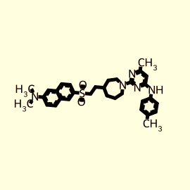 Cc1ccc(Nc2cc(C)nc(N3CCCC(CCS(=O)(=O)c4ccc5cc(N(C)C)ccc5c4)CC3)n2)cc1